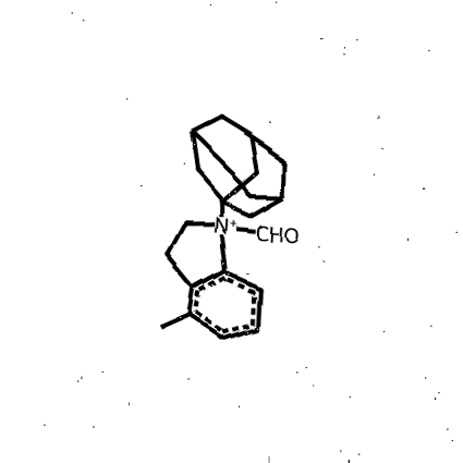 Cc1cccc2c1CC[N+]2(C=O)C12CC3CC(CC(C3)C1)C2